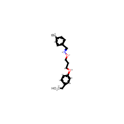 CC(C)(C)c1ccc(/C=N/OCCCOc2ccc(CC(=O)O)cc2)cc1